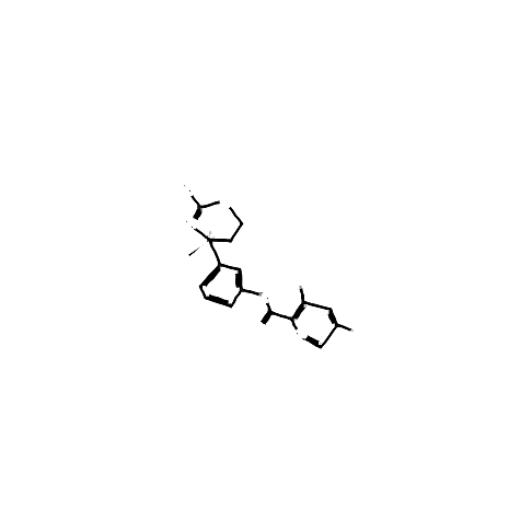 C[C@]1(c2cccc(NC(=O)c3ncc(Cl)cc3Cl)c2)CCSC(N)=N1